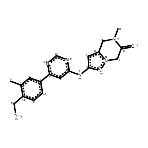 Cc1cc(-c2cc(Nc3cc4n(n3)CC(=O)N(C)C4)ncn2)ccc1CN